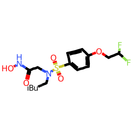 CCC(C)CN(CC(=O)NO)S(=O)(=O)c1ccc(OCC(F)F)cc1